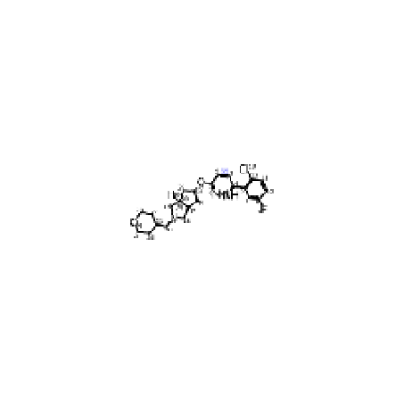 N=C(/C=C\C(=N)c1cc(F)ccc1Cl)O[C@@H]1CC2CN(CC3CCOCC3)C[C@@H]2C1